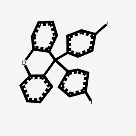 Ic1ccc(C2(c3ccc(I)cc3)c3ccccc3Oc3ccccc32)cc1